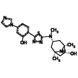 CN(c1nnc(-c2ccc(-n3ccnc3)cc2O)s1)[C@H]1C[C@]2(C)C[C@@H](O)[C@](C)(C1)N2